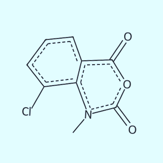 Cn1c(=O)oc(=O)c2cccc(Cl)c21